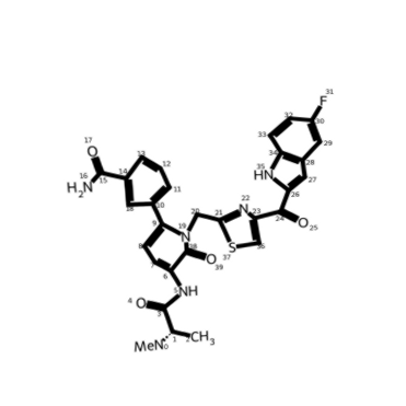 CN[C@@H](C)C(=O)Nc1ccc(-c2cccc(C(N)=O)c2)n(Cc2nc(C(=O)c3cc4cc(F)ccc4[nH]3)cs2)c1=O